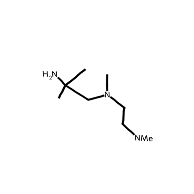 CNCCN(C)CC(C)(C)N